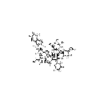 CCC(C)C(C(=O)NC(Cc1ccccc1)C(O)CN(Cc1ccc(OC)cc1)NC(=O)N(CC(C)(C)C)C(=O)OC)N1CCN(Cc2nc3cccnc3n2C)C1=O